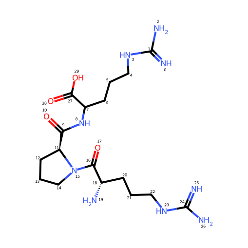 N=C(N)NCCCC(NC(=O)[C@@H]1CCCN1C(=O)[C@@H](N)CCCNC(=N)N)C(=O)O